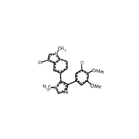 COc1cc(-c2ncn(C)c2-c2ccc3c(c2)c(Cl)cn3C)cc(Cl)c1OC